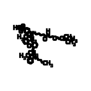 CCCCCN1/C(=C/C=C2\CCCC(/C=C/C3=[N+](CCCCCC(=O)NCCOCCOCC(C)(C)C)c4ccc(S(=O)(=O)O)cc4C3(C)C)=C2Oc2ccccc2)C(C)(C)c2ccccc21